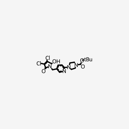 CC(C)(C)OC(=O)N1CCN(c2ccc(CN3C(=O)C(Cl)=C(Cl)C3O)cn2)CC1